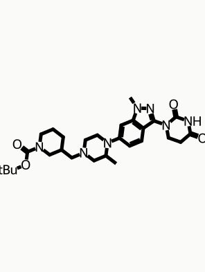 CC1CN(CC2CCCN(C(=O)OC(C)(C)C)C2)CCN1c1ccc2c(N3CCC(=O)NC3=O)nn(C)c2c1